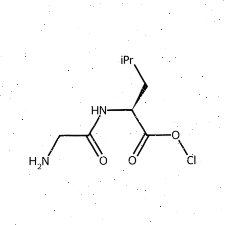 CC(C)C[C@H](NC(=O)CN)C(=O)OCl